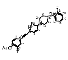 CC(=O)Oc1ccc(C#Cc2ccc(N3CCC(Oc4ccccc4F)CC3)nn2)cc1F